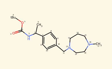 CC(NC(=O)OC(C)(C)C)c1ccc(CN2CCCN(C)CC2)cc1